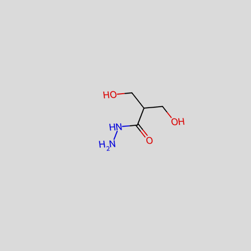 NNC(=O)C(CO)CO